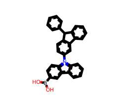 OB(O)c1ccc2c(c1)c1ccccc1n2-c1ccc2c(c1)-c1ccccc1C2c1ccccc1